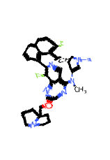 C#Cc1c(F)ccc2cccc(-c3ncc4c(N(C)[C@@H]5CCNC5)nc(OCC56CCCN5CCC6)nc4c3F)c12